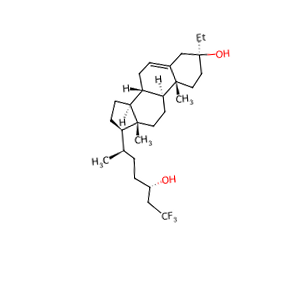 CC[C@]1(O)CC[C@@]2(C)C(=CC[C@H]3[C@@H]4CC[C@H]([C@H](C)CC[C@H](O)CC(F)(F)F)[C@@]4(C)CC[C@@H]32)C1